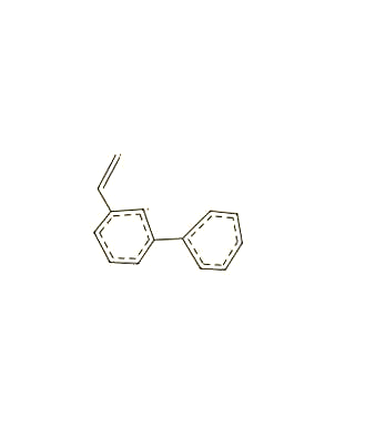 [CH]=Cc1[c]c(-c2ccccc2)ccc1